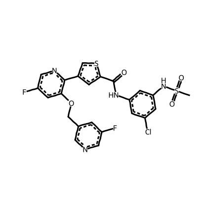 CS(=O)(=O)Nc1cc(Cl)cc(NC(=O)c2cc(-c3ncc(F)cc3OCc3cncc(F)c3)cs2)c1